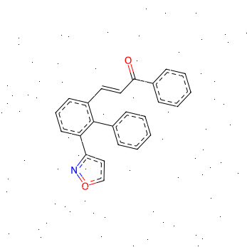 O=C(C=Cc1cccc(-c2ccon2)c1-c1ccccc1)c1ccccc1